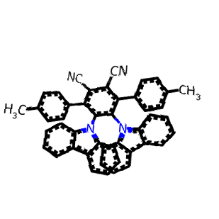 Cc1ccc(-c2c(C#N)c(C#N)c(-c3ccc(C)cc3)c(-n3c4ccccc4c4ccccc43)c2-n2c3ccccc3c3ccccc32)cc1